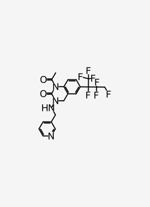 CC(=O)N1C(=O)N(NCc2cccnc2)Cc2cc(C(F)(C(F)(F)F)C(F)(F)CF)ccc21